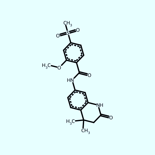 COc1cc(S(C)(=O)=O)ccc1C(=O)Nc1ccc2c(c1)NC(=O)CC2(C)C